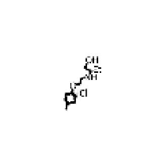 CC[C@@H](CO)NCCOc1ccc(C)cc1.Cl